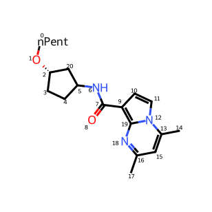 CCCCCO[C@H]1CCC(NC(=O)c2ccn3c(C)cc(C)nc23)C1